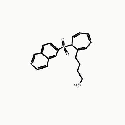 NCCCCC1=CN=CC=CN1S(=O)(=O)c1ccc2cnccc2c1